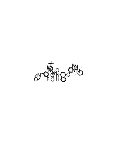 C[C@@H]1CCC[C@H](C)N1c1nnc2ccc(O[C@@H]3CC[C@H](NC(=O)N(OC=O)c4cc(C(C)(C)C)nn4-c4cc(F)cc(CN5CCOCC5)c4)c4ccccc43)cn12